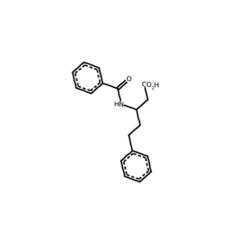 O=C(O)CC(CCc1ccccc1)NC(=O)c1ccccc1